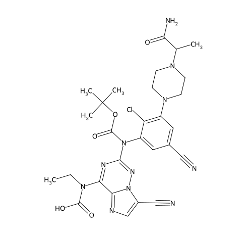 CCN(C(=O)O)c1nc(N(C(=O)OC(C)(C)C)c2cc(C#N)cc(N3CCN(C(C)C(N)=O)CC3)c2Cl)nn2c(C#N)cnc12